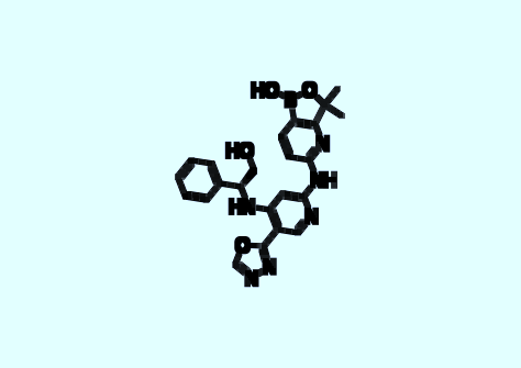 CC1(C)OB(O)c2ccc(Nc3cc(N[C@H](CO)c4ccccc4)c(-c4nnco4)cn3)nc21